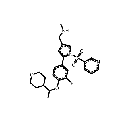 CNCc1cc(-c2ccc(OC(C)C3CCOCC3)c(F)c2)n(S(=O)(=O)c2cccnc2)c1